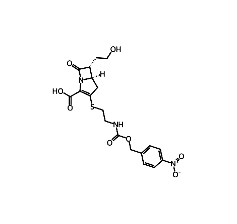 O=C(NCCSC1=C(C(=O)O)N2C(=O)[C@H](CCO)[C@H]2C1)OCc1ccc([N+](=O)[O-])cc1